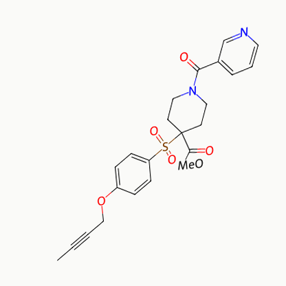 CC#CCOc1ccc(S(=O)(=O)C2(C(=O)OC)CCN(C(=O)c3cccnc3)CC2)cc1